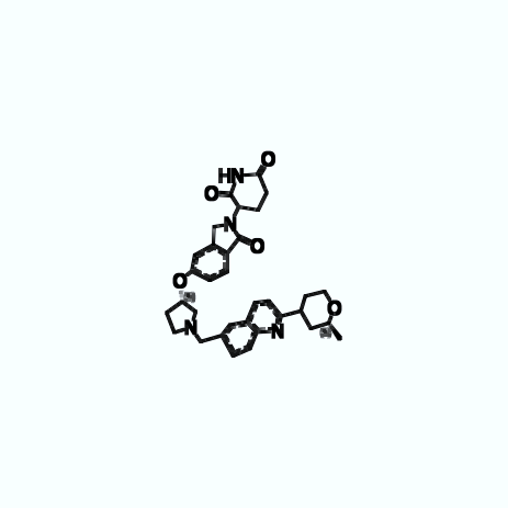 C[C@H]1CC(c2ccc3cc(CN4CC[C@H](Oc5ccc6c(c5)CN(C5CCC(=O)NC5=O)C6=O)C4)ccc3n2)CCO1